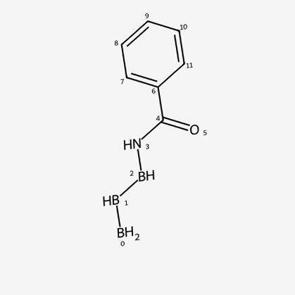 BBBNC(=O)c1ccccc1